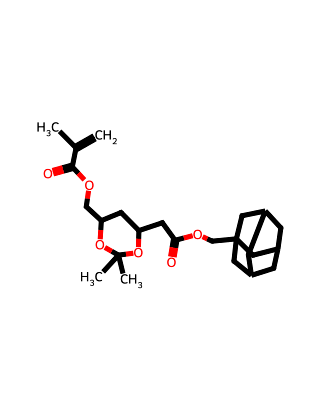 C=C(C)C(=O)OCC1CC(CC(=O)OCC23CC4CC(CC(C4)C2)C3)OC(C)(C)O1